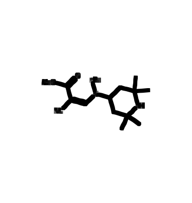 CCCCN(C=C(C#N)C(=O)OC)C1CC(C)(C)NC(C)(C)C1